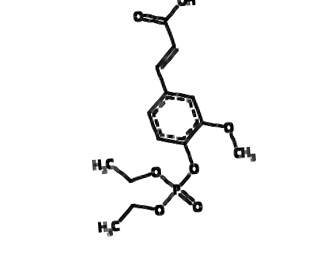 CCOP(=O)(OCC)Oc1ccc(C=CC(=O)O)cc1OC